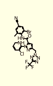 Cc1cc(C#N)cc(Br)c1NC(=O)c1cc(Cn2nnc(C(F)(F)F)n2)nn1C1=C(Cl)C=CCN1